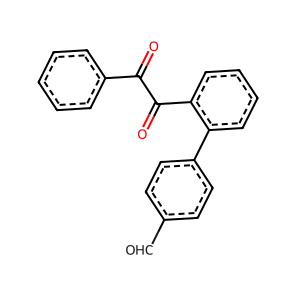 O=Cc1ccc(-c2ccccc2C(=O)C(=O)c2ccccc2)cc1